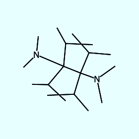 CC(C)C(C(C)C)(N(C)C)C(C(C)C)(C(C)C)N(C)C